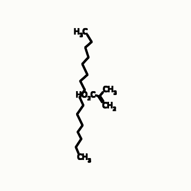 C=C(C)C(=O)O.CCCCCCCCCCCCCCCC